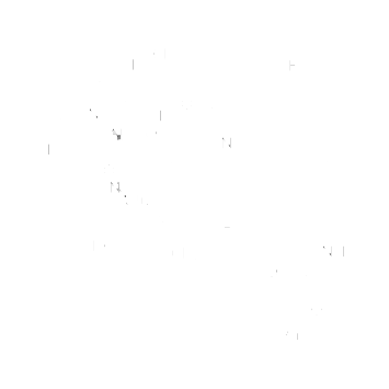 C#Cc1c(F)ccc2cc(NC(=O)OC(C)(C)C)cc(-c3nc4c5c(nc(C)c(C(F)(F)F)c5c3F)N3C[C@H]5CC[C@@H]([C@H]3[C@H](C)O4)N5C(=O)OC(C)(C)C)c12